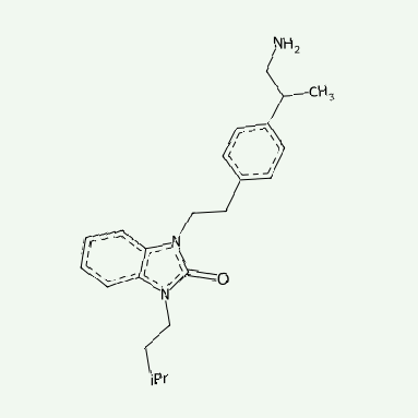 CC(C)CCn1c(=O)n(CCc2ccc(C(C)CN)cc2)c2ccccc21